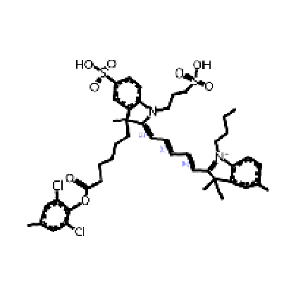 CCCC[N+]1=C(/C=C/C=C/C=C2\N(CCCS(=O)(=O)O)c3ccc(S(=O)(=O)O)cc3C2(C)CCCCCC(=O)Oc2c(Cl)cc(C)cc2Cl)C(C)(C)c2cc(C)ccc21